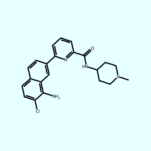 CN1CCC(NC(=O)c2cccc(-c3ccc4ccc(Cl)c(N)c4c3)n2)CC1